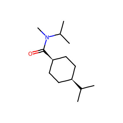 CC(C)N(C)C(=O)[C@H]1CC[C@@H](C(C)C)CC1